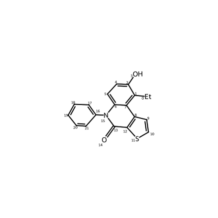 CCc1c(O)ccc2c1c1ccsc1c(=O)n2-c1ccccc1